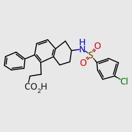 O=C(O)CCc1c(-c2ccccc2)ccc2c1CCC(NS(=O)(=O)c1ccc(Cl)cc1)C2